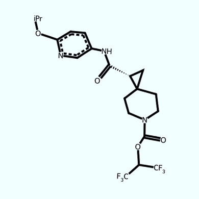 CC(C)Oc1ccc(NC(=O)[C@@H]2CC23CCN(C(=O)OC(C(F)(F)F)C(F)(F)F)CC3)cn1